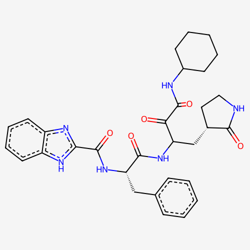 O=C(NC1CCCCC1)C(=O)C(C[C@@H]1CCNC1=O)NC(=O)[C@H](Cc1ccccc1)NC(=O)c1nc2ccccc2[nH]1